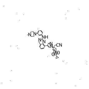 CN1CCN(c2cccc(Nc3ncc4cccc(-c5cnn(C6(CC#N)CN(S(=O)(=O)C7CC7)C6)c5)c4n3)c2)CC1